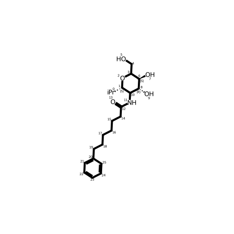 CC(C)[C@@H]1OC(CO)[C@@H](O)[C@H](O)C1NC(=O)CCCCCCc1ccccc1